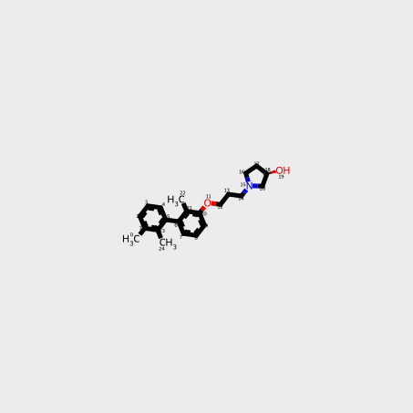 Cc1cccc(-c2cccc(OCCCN3CC[C@@H](O)C3)c2C)c1C